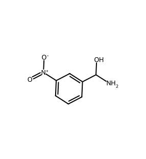 NC(O)c1cccc([N+](=O)[O-])c1